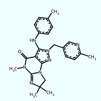 Cc1ccc(Nc2c3c(nn2Cc2ccc(C)nc2)N2CC(C)(C)N=C2N(C)C3=O)cc1